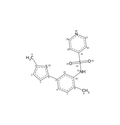 Cc1ccc(-c2ccc(C)c(NS(=O)(=O)c3ccncc3)c2)s1